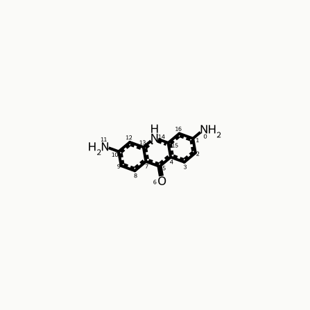 Nc1ccc2c(=O)c3ccc(N)cc3[nH]c2c1